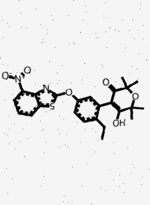 CCc1ccc(Oc2nc3c([N+](=O)[O-])cccc3s2)cc1C1=C(O)C(C)(C)OC(C)(C)C1=O